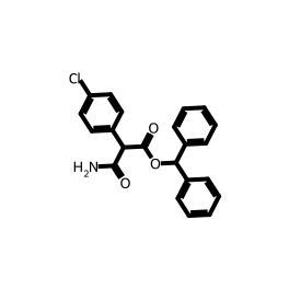 NC(=O)C(C(=O)OC(c1ccccc1)c1ccccc1)c1ccc(Cl)cc1